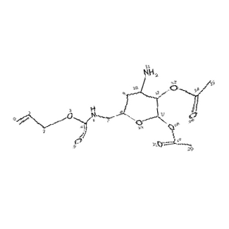 C=CCOC(=O)NCC1CC(N)C(OC(C)=O)C(OC(C)=O)O1